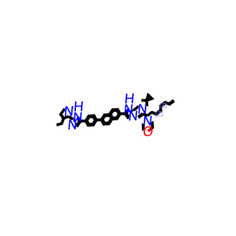 C=C/C=C\C=C/CC(C(=C)N(Cc1ncc(-c2ccc3cc(-c4ccc(-c5cnc(C6C(CC)CCN6C)[nH]5)cc4)ccc3c2)[nH]1)CC1(C)CC1)N1CCOCC1